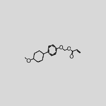 C=CC(=O)OCOc1ccc(C2CCC(OC)CC2)cc1